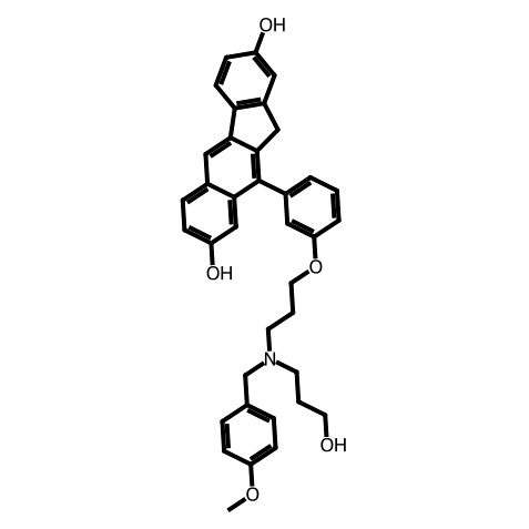 COc1ccc(CN(CCCO)CCCOc2cccc(-c3c4c(cc5ccc(O)cc35)-c3ccc(O)cc3C4)c2)cc1